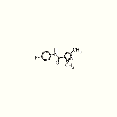 Cc1cc(C(=O)Nc2ccc(F)cc2)n(C)n1